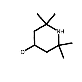 CC1(C)CC([O])CC(C)(C)N1